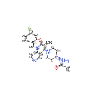 C=CC(=O)NC1CCN(c2c(C#N)c(=O)n(Cc3ccc(F)cc3)c3ccncc23)CC1